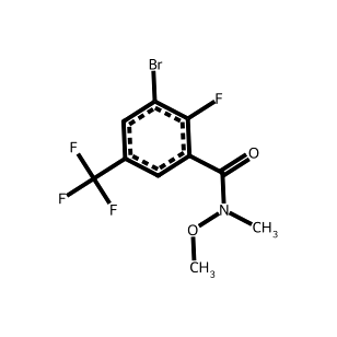 CON(C)C(=O)c1cc(C(F)(F)F)cc(Br)c1F